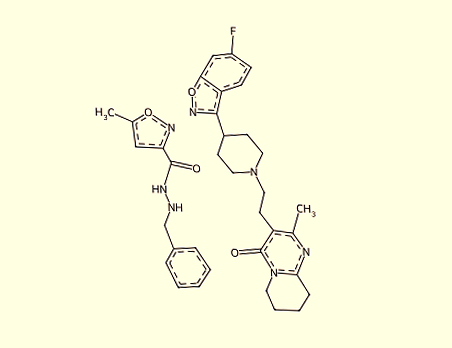 Cc1cc(C(=O)NNCc2ccccc2)no1.Cc1nc2n(c(=O)c1CCN1CCC(c3noc4cc(F)ccc34)CC1)CCCC2